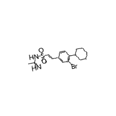 CC(=N)NS(=O)(=O)/C=C/c1ccc(C2CCCCC2)c(Br)c1